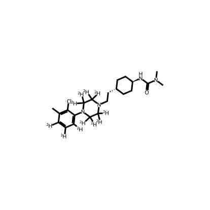 [2H]c1c([2H])c(C)c(Cl)c(N2C([2H])([2H])C([2H])([2H])N(CC[C@H]3CC[C@H](NC(=O)N(C)C)CC3)C([2H])([2H])C2([2H])[2H])c1[2H]